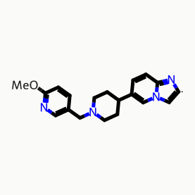 COc1ccc(CN2CCC(c3ccc4n[c]cn4c3)CC2)cn1